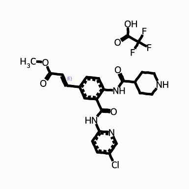 COC(=O)/C=C/c1ccc(NC(=O)C2CCNCC2)c(C(=O)Nc2ccc(Cl)cn2)c1.O=C(O)C(F)(F)F